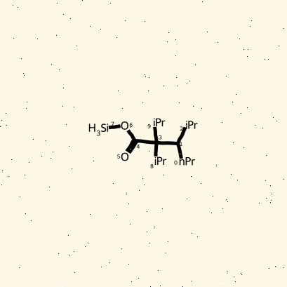 CCCC(C(C)C)C(C(=O)O[SiH3])(C(C)C)C(C)C